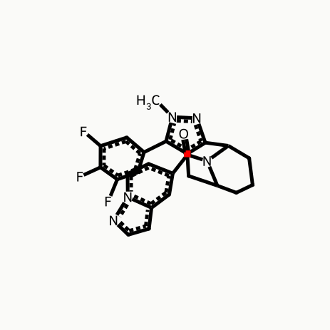 Cn1nc2c(c1-c1cc(F)c(F)c(F)c1)CC1CCCC2N1C(=O)c1ccn2nccc2c1